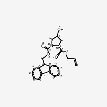 C=CCOC(=O)[C@@H]1CC(O)CN1C(=O)OCC1c2ccccc2-c2ccccc21